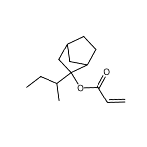 C=CC(=O)OC1(C(C)CC)CC2CCC1C2